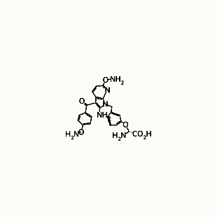 NOc1ccc(C(=O)c2c(N)n(Cc3cccc(O[C@@H](N)C(=O)O)c3)c3nc(ON)ccc23)cc1